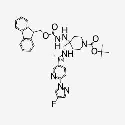 C[C@H](NCC1(NNC(=O)OCC2c3ccccc3-c3ccccc32)CCN(C(=O)OC(C)(C)C)CC1)c1ccc(-n2cc(F)cn2)nc1